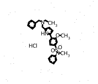 CCN(Cc1ccccc1)Cc1ccc(-c2ccc(S(=O)(=O)N(C)c3ccccc3)cc2OC)[nH]1.Cl